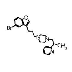 C[C@H](CN1CCN(CCCc2coc3ccc(Br)cc23)CC1)c1ccccn1